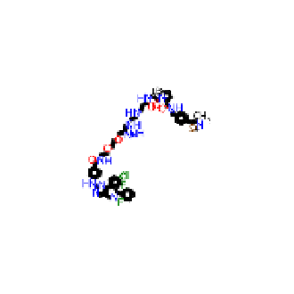 Cc1ncsc1-c1ccc(CNC(=O)[C@@H]2CCCN2C(=O)C(NC(=O)CCNCCN/C=C(/COCCOCCNC(=O)c2ccc(Nc3ncc4c(n3)-c3ccc(Cl)cc3C(c3c(F)cccc3F)=NC4)cc2)N=N)C(C)(C)C)cc1